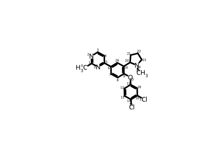 Cc1nccc(-c2ccc(Oc3ccc(Cl)c(Cl)c3)c(C3CCCN3C)c2)n1